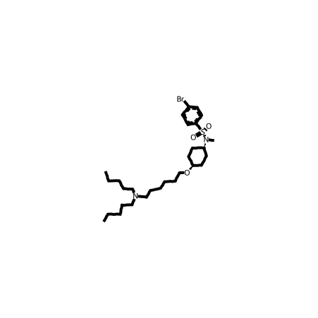 CCCCCN(CCCCC)CCCCCCO[C@H]1CC[C@H](N(C)S(=O)(=O)c2ccc(Br)cc2)CC1